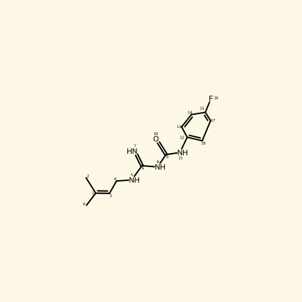 CC(C)=CCNC(=N)NC(=O)Nc1ccc(F)cc1